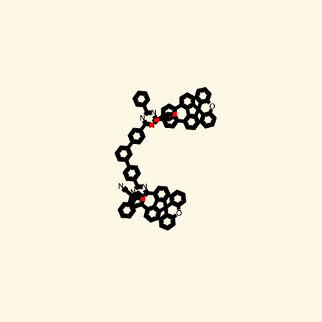 N#Cc1ccc(-c2cccc3c2-c2c(-c4ccc(-c5nc(-c6ccccc6)nc(-c6ccc(-c7cccc(-c8ccc(-c9nc(-c%10ccccc%10)nc(-c%10cccc%11c%10-c%10c(-c%12ccc(C#N)cc%12)cccc%10C%11%10c%11ccccc%11Oc%11ccccc%11%10)n9)cc8)c7)cc6)n5)cc4)cccc2C32c3ccccc3Oc3ccccc32)cc1